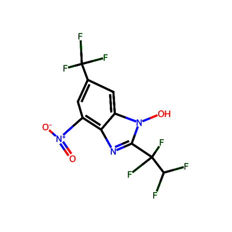 O=[N+]([O-])c1cc(C(F)(F)F)cc2c1nc(C(F)(F)C(F)F)n2O